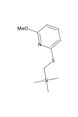 COc1cccc(SC[Si](C)(C)C)n1